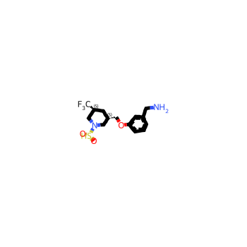 NCc1cccc(OC[C@H]2C[C@H](C(F)(F)F)CN([SH](=O)=O)C2)c1